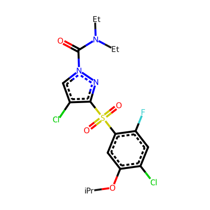 CCN(CC)C(=O)n1cc(Cl)c(S(=O)(=O)c2cc(OC(C)C)c(Cl)cc2F)n1